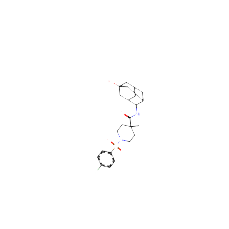 CC1(C(=O)NC2C3CC4CC2CC(O)(C4)C3)CCN(S(=O)(=O)c2ccc(F)cc2)CC1